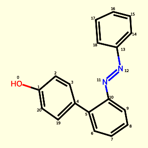 Oc1ccc(-c2ccccc2N=Nc2ccccc2)cc1